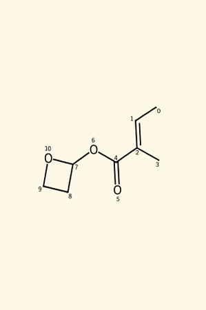 CC=C(C)C(=O)OC1CCO1